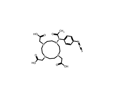 CC(=O)N(c1ccc(N=C=S)cc1)N1CCN(CC(=O)O)CCN(CC(=O)O)CCN(CC(=O)O)CC1